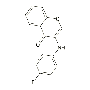 O=c1c(Nc2ccc(F)cc2)coc2ccccc12